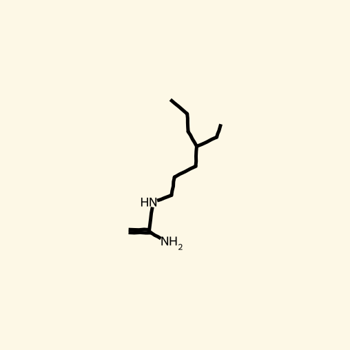 C=C(N)NCCCC(CC)CCC